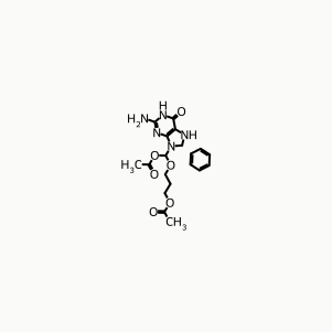 CC(=O)OCCCOC(OC(C)=O)N1CNc2c1nc(N)[nH]c2=O.c1ccccc1